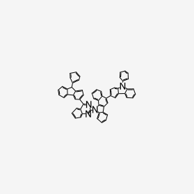 c1ccc(C2c3ccccc3-c3cc(-c4nc(-n5c6ccccc6c6cc(-c7ccc8c(c7)c7ccccc7n8-c7ccccc7)c7ccccc7c65)nc5ccccc45)ccc32)cc1